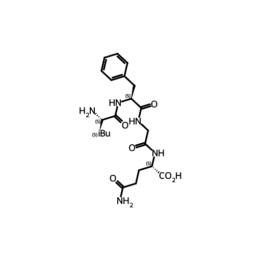 CC[C@H](C)[C@H](N)C(=O)N[C@@H](Cc1ccccc1)C(=O)NCC(=O)N[C@@H](CCC(N)=O)C(=O)O